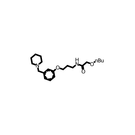 CCCCOCC(=O)NCCCOc1cccc(CN2CCCCC2)c1